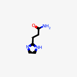 NC(=O)C[CH]c1ncc[nH]1